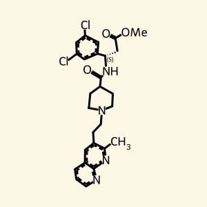 COC(=O)C[C@H](NC(=O)C1CCN(CCc2cc3cccnc3nc2C)CC1)c1cc(Cl)cc(Cl)c1